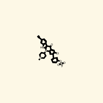 C#Cc1ccc2c(c1)[nH]c1c2c(=O)c2cc(CC)c(-c3cccc(OS(=O)(=O)F)c3)cc2n1C1CCN(C)CC1